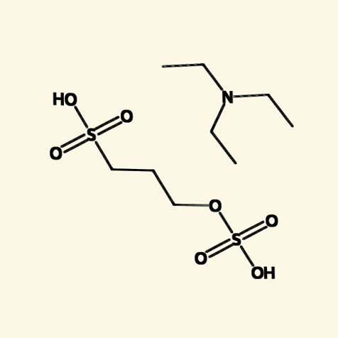 CCN(CC)CC.O=S(=O)(O)CCCOS(=O)(=O)O